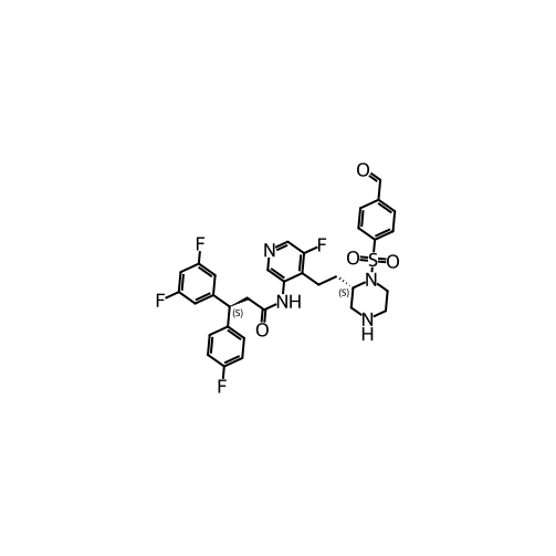 O=Cc1ccc(S(=O)(=O)N2CCNC[C@@H]2CCc2c(F)cncc2NC(=O)C[C@@H](c2ccc(F)cc2)c2cc(F)cc(F)c2)cc1